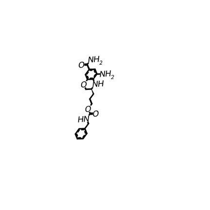 NC(=O)c1cc(N)c2c(c1)OC[C@H](CCCOC(=O)NCc1ccccc1)N2